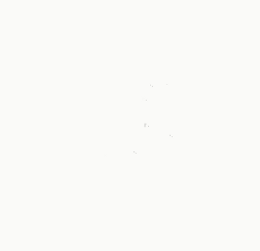 COc1ccc2c(c1OC)CCN(CC1=Nc3cccc4c3C(NNC4=O)N1)C2